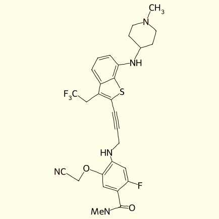 CNC(=O)c1cc(OCC#N)c(NCC#Cc2sc3c(NC4CCN(C)CC4)cccc3c2CC(F)(F)F)cc1F